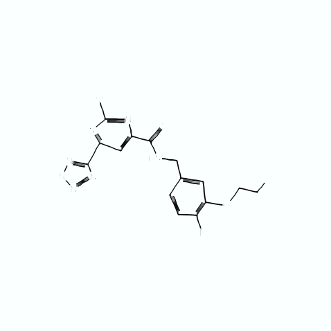 Cc1nc(C(=O)NCc2ccc(F)c(OCCO)c2)cc(-c2nn[nH]n2)n1